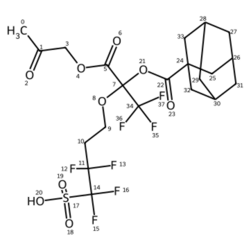 CC(=O)COC(=O)C(OCCC(F)(F)C(F)(F)S(=O)(=O)O)(OC(=O)C12CC3CC(CC(C3)C1)C2)C(F)(F)F